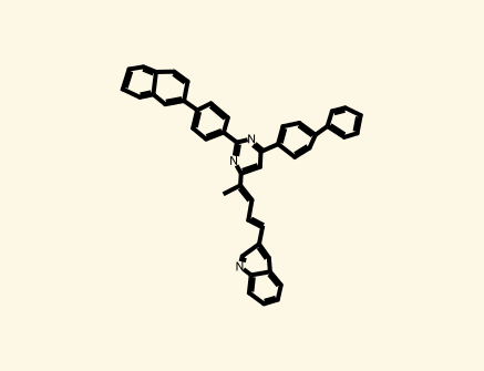 C/C(=C\C=C\c1cnc2ccccc2c1)c1cc(-c2ccc(-c3ccccc3)cc2)nc(-c2ccc(-c3ccc4ccccc4c3)cc2)n1